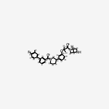 Cc1cc(-c2cccc(C(=O)N3CCCC(c4cccc(OC(C)(C)C(=O)N5CC6NC[C@H]65)c4)C3)c2)ccc1F